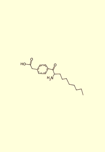 CCCCCCCCC(N)C(=O)c1ccc(CC(=O)O)cc1